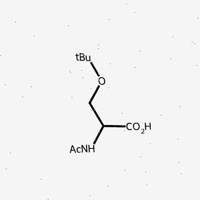 CC(=O)NC(COC(C)(C)C)C(=O)O